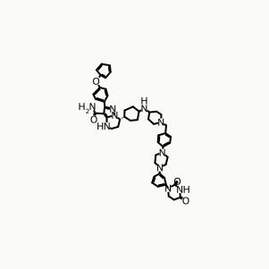 NC(=O)c1c(-c2ccc(Oc3ccccc3)cc2)nn2c1NCC[C@H]2C1CCC(NC2CCN(Cc3ccc(N4CCN(c5cccc(N6CCC(=O)NC6=O)c5)CC4)cc3)CC2)CC1